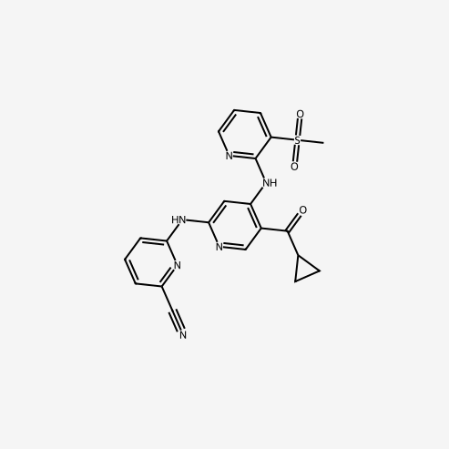 CS(=O)(=O)c1cccnc1Nc1cc(Nc2cccc(C#N)n2)ncc1C(=O)C1CC1